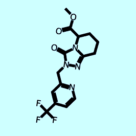 COC(=O)C1CCCc2nn(Cc3cc(C(F)(F)F)ccn3)c(=O)n21